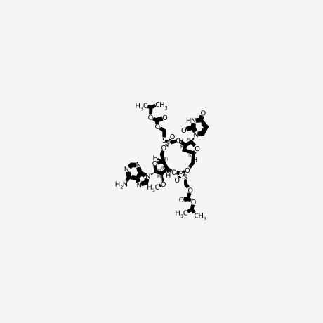 CO[C@@H]1[C@@H]2OP(=O)(SCOC(=O)OC(C)C)OC[C@@H]3C[C@@H](OP(=O)(SCOC(=O)OC(C)C)OC[C@H]2O[C@H]1n1cnc2c(N)ncnc21)[C@H](n1ccc(=O)[nH]c1=O)O3